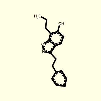 CCCc1c(O)ccc2c(CCc3ccccc3)noc12